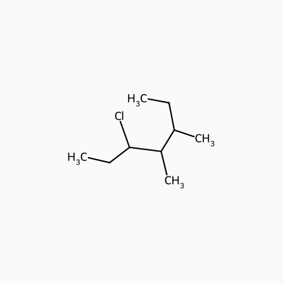 CCC(C)C(C)C(Cl)CC